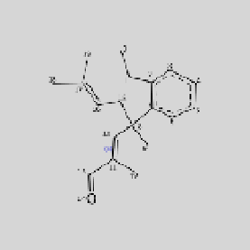 CCc1ccccc1C(C)(/C=C(\C)C=O)CC=C(C)C